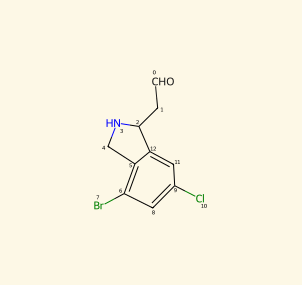 O=CCC1NCc2c(Br)cc(Cl)cc21